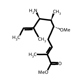 C/C=C(\C)[C@@H](N)[C@@H](C)[C@@H](C/C=C(\C)C(=O)OC)OC